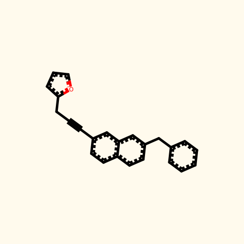 C(#Cc1ccc2ccc(Cc3ccccc3)cc2c1)Cc1ccco1